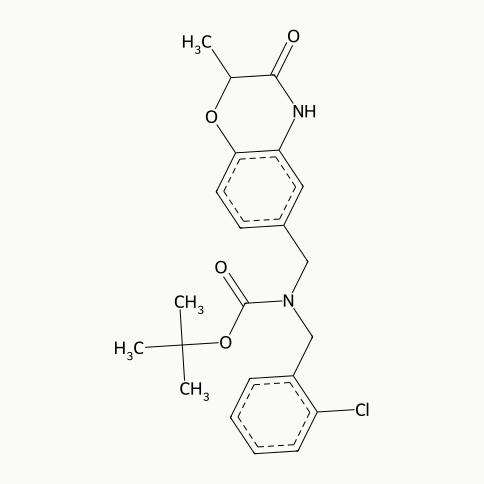 CC1Oc2ccc(CN(Cc3ccccc3Cl)C(=O)OC(C)(C)C)cc2NC1=O